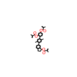 C=C(C)C(=O)Oc1ccc(-c2cc(C)c(-c3ccc4c(c3)C(OC(=O)C(=C)C)CC4)cc2C)c(OC(=O)C(=C)C)c1